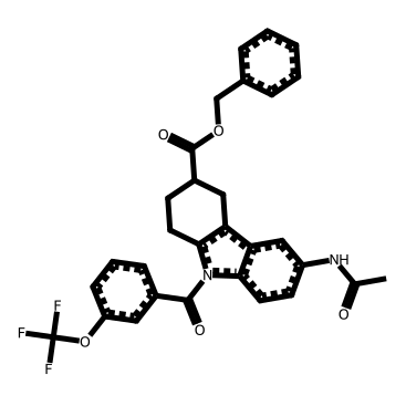 CC(=O)Nc1ccc2c(c1)c1c(n2C(=O)c2cccc(OC(F)(F)F)c2)CCC(C(=O)OCc2ccccc2)C1